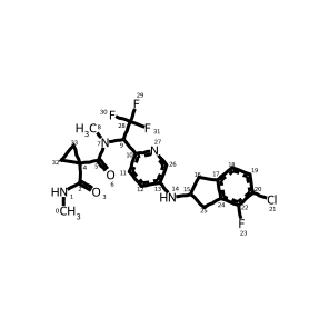 CNC(=O)C1(C(=O)N(C)C(c2ccc(NC3Cc4ccc(Cl)c(F)c4C3)cn2)C(F)(F)F)CC1